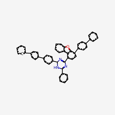 c1ccc(C2=NC(c3ccc(-c4ccc(-c5ccccc5)cc4)c4oc5ccccc5c34)=NC(c3ccc(-c4ccc(-c5ccccc5)cc4)cc3)N2)cc1